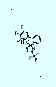 C[N+]1(c2ccccc2-c2cc(F)c(F)c(F)c2)C=[C]C(C(F)(F)F)=N1